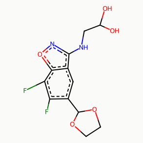 OC(O)CNc1noc2c(F)c(F)c(C3OCCO3)cc12